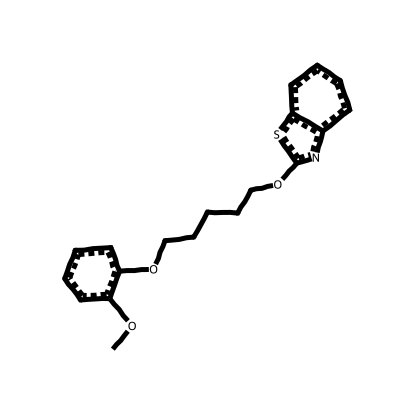 COc1ccccc1OCCCCCOc1nc2ccccc2s1